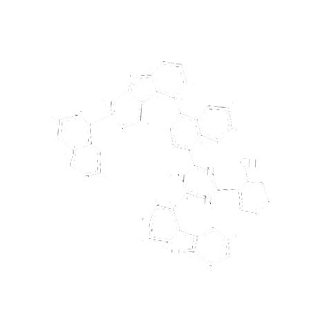 CC1CC=CC=C1c1nc(-c2ccc(-c3cccc4oc5cc(-c6cccc7ccccc67)ccc5c34)c3ccccc23)nc(-c2cccc3oc4ccccc4c23)n1